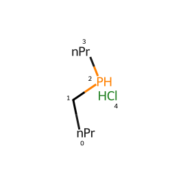 CCCCPCCC.Cl